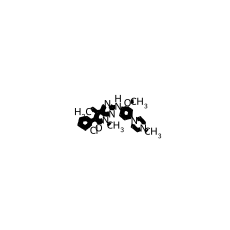 C=Cc1c(-c2ccccc2Cl)c(=O)n(C)c2nc(Nc3ccc(N4CCN(C)CC4)cc3OC)ncc12